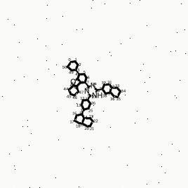 c1ccc(-c2ccc(C3=NC(c4ccc(-c5cccc6ccccc56)cc4)NC(c4ccc5ccccc5c4)=N3)c3c2oc2ccccc23)cc1